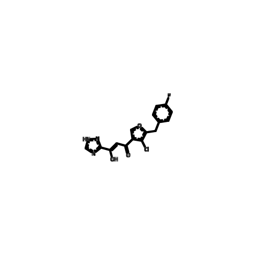 O=C(C=C(O)c1nc[nH]n1)c1coc(Cc2ccc(F)cc2)c1Cl